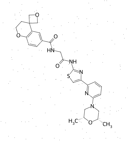 C[C@@H]1CN(c2cccc(-c3csc(NC(=O)CNC(=O)c4ccc5c(c4)C4(CCO5)COC4)n3)n2)C[C@H](C)O1